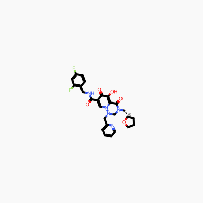 O=C(NCc1ccc(F)cc1F)c1cn2c(c(O)c1=O)C(=O)N(C[C@@H]1CCCO1)CN2Cc1ccccn1